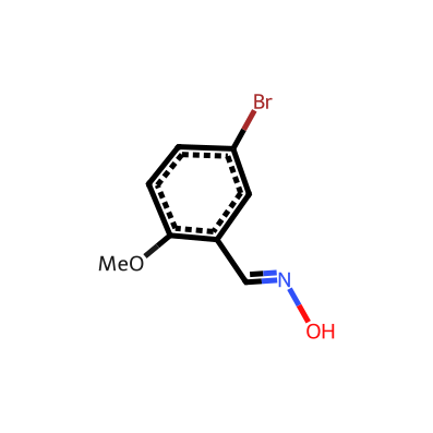 COc1ccc(Br)cc1/C=N/O